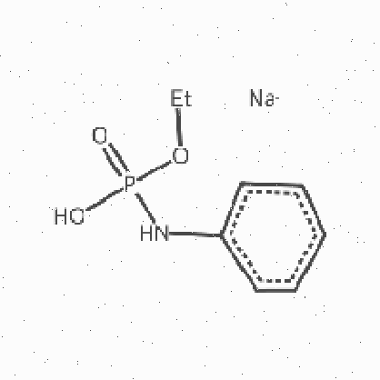 CCOP(=O)(O)Nc1ccccc1.[Na]